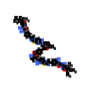 CN(C1(CNc2ccc3c(n2)sc2nc(-c4ccc(NC(=O)Nc5cc(C(C)(C)C)on5)cc4)cn23)CC1c1ccc(S(=O)(=O)NC2(CNc3ccc4c(n3)sc3nc(-c5ccc(NC(=O)Nc6cc(C(C)(C)C)on6)cc5)cn34)CC2)cc1)S(C)(=O)=O